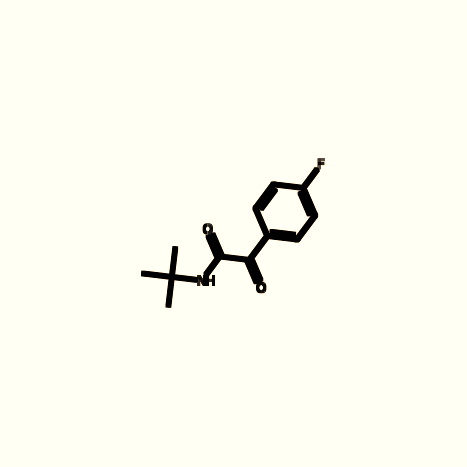 CC(C)(C)NC(=O)C(=O)c1ccc(F)cc1